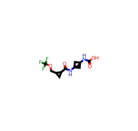 O=C(O)NC12CC(NC(=O)C3CC3COC(F)(F)F)(C1)C2